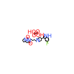 O=C(O)C(=O)O.O=C1CC2CCCN2C(=O)N1CCCCN1CCC(c2c[nH]c3ccc(F)cc23)CC1